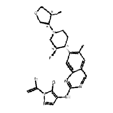 C=C(CC)n1ncc(Nc2ncc3cc(C)c([C@H]4CCN([C@H]5COC[C@H]5C)C[C@@H]4F)cc3n2)c1Cl